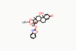 CCC[C@@H]1O[C@@H]2CC3C4CCC5=CC(=O)C=CC5(C)C4[C@@H](O)CC3(C)[C@]2(C(=O)COc2nc3ccccc3o2)O1